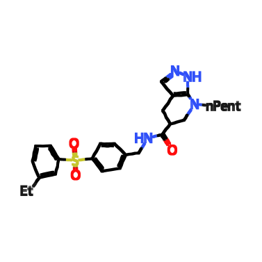 CCCCCN1CC(C(=O)NCc2ccc(S(=O)(=O)c3cccc(CC)c3)cc2)Cc2cn[nH]c21